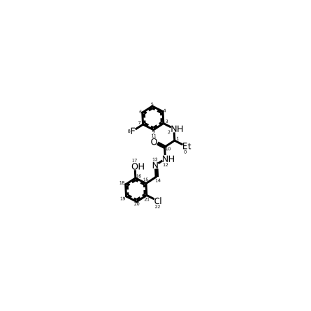 CCC(Nc1cccc(F)c1)C(=O)NN=Cc1c(O)cccc1Cl